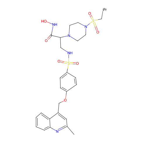 Cc1cc(COc2ccc(S(=O)(=O)NCC(C(=O)NO)N3CCN(S(=O)(=O)CC(C)C)CC3)cc2)c2ccccc2n1